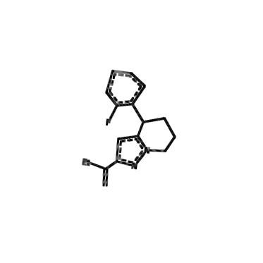 C=C(CC)c1cc2n(n1)CCCC2c1ccccc1F